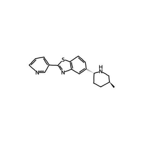 C[C@H]1CC[C@H](c2ccc3sc(-c4cccnc4)nc3c2)NC1